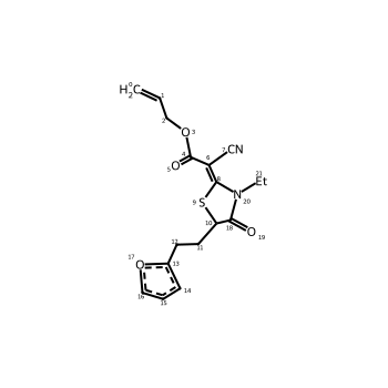 C=CCOC(=O)/C(C#N)=C1\SC(CCc2ccco2)C(=O)N1CC